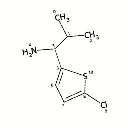 CC(C)C(N)c1ccc(Cl)s1